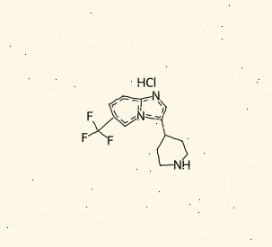 Cl.FC(F)(F)c1ccc2ncc(C3CCNCC3)n2c1